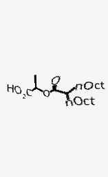 CCCCCCCCC(CCCCCCCC)C(=O)OC(C)C(=O)O